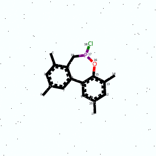 Cc1cc(C)c2c(c1)-c1cc(C)cc(C)c1OP(Cl)C2